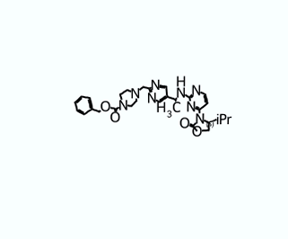 CC(Nc1nccc(N2C(=O)OC[C@@H]2C(C)C)n1)c1cnc(CN2CCN(C(=O)OCc3ccccc3)CC2)nc1